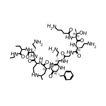 CCNC(=O)C(CC)NC(=O)[C@H](CCN)NC(=O)C1CCNC(C)C[C@H](NC(=O)[C@@H](Cc2ccccc2)NC(=O)[C@H](CCN)NC(=O)CNC(=O)[C@H](CCN)NC(=O)[C@@H](NC(=O)CCCN)[C@@H](C)O)C(=O)N1